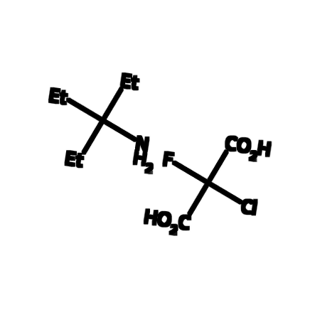 CCC(N)(CC)CC.O=C(O)C(F)(Cl)C(=O)O